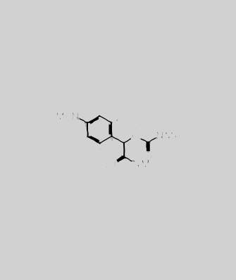 CNC(=O)OC(C(=O)NC)c1ccc(NC)cc1